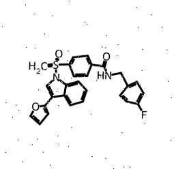 C=S(=O)(c1ccc(C(=O)NCc2ccc(F)cc2)cc1)n1cc(-c2ccco2)c2ccccc21